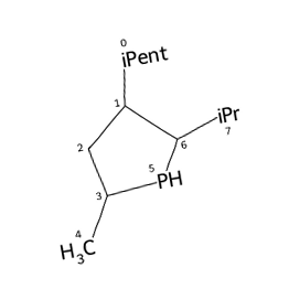 CCCC(C)C1CC(C)PC1C(C)C